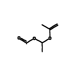 C=C(C)OC(C)O[C]=O